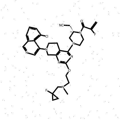 C=C(F)C(=O)N1CCN(c2nc(OCCN(C)CC3(F)CC3)nc3c2CCN(c2cncc4cccc(Cl)c24)C3)C[C@@H]1CC#N